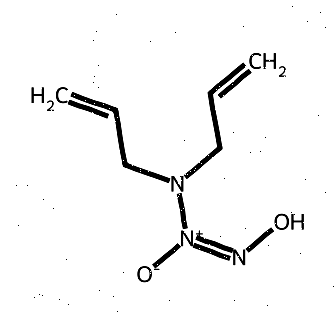 C=CCN(CC=C)/[N+]([O-])=N\O